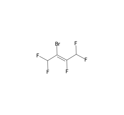 FC(=C(Br)C(F)F)C(F)F